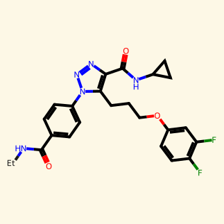 CCNC(=O)c1ccc(-n2nnc(C(=O)NC3CC3)c2CCCOc2ccc(F)c(F)c2)cc1